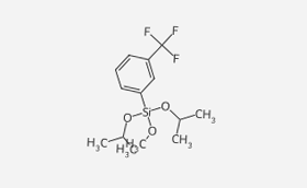 CO[Si](OC(C)C)(OC(C)C)c1cccc(C(F)(F)F)c1